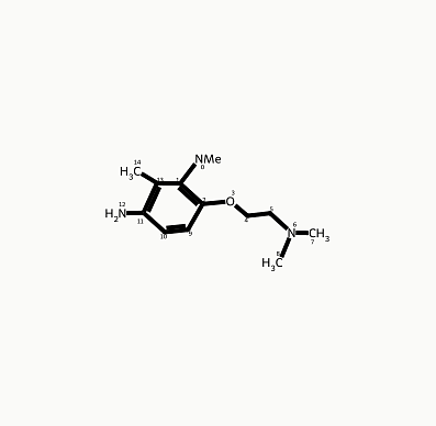 CNc1c(OCCN(C)C)ccc(N)c1C